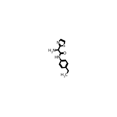 CCc1ccc(NC(=O)C(N)c2nccs2)cc1